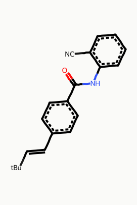 CC(C)(C)/C=C/c1ccc(C(=O)Nc2ccccc2C#N)cc1